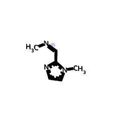 C/N=C\c1nccn1C